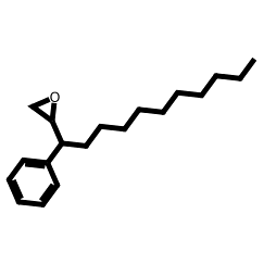 CCCCCCCCCC[C](c1ccccc1)C1CO1